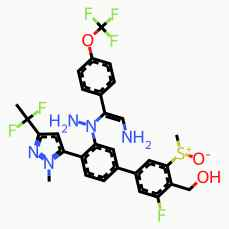 Cn1nc(C(C)(F)F)cc1-c1ccc(-c2cc(F)c(CO)c([S+](C)[O-])c2)cc1N(N)/C(=C\N)c1ccc(OC(F)(F)F)cc1